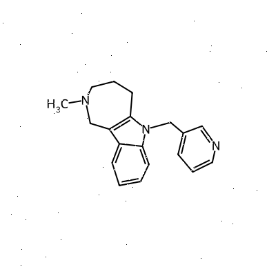 CN1CCCc2c(c3ccccc3n2Cc2cccnc2)C1